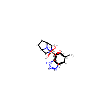 O=C(c1cnn[nH]1)N1CC2CCC(C1)N2S(=O)(=O)c1cccc(C(F)(F)F)c1